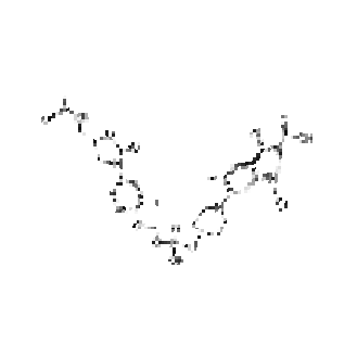 CC(=O)NC[C@H]1CN(c2ccc(OCOP(=O)(O)OC3CCN(c4cc5c(cc4F)c(=O)c(C(=O)O)cn5C4CC4)CC3)c(F)c2)C(=O)O1